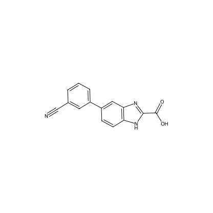 N#Cc1cccc(-c2ccc3[nH]c(C(=O)O)nc3c2)c1